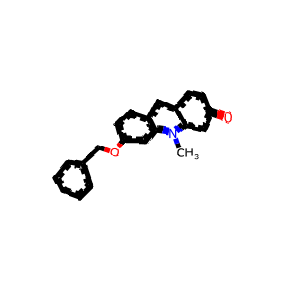 Cn1c2cc(=O)ccc-2cc2ccc(OCc3ccccc3)cc21